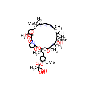 C=C1[C@H](C)C[C@H](C)/C=C/C=C/C=C(\C)[C@@H](OC)CC2CC[C@@H](C)[C@@](O)(O2)C(=O)C(=O)N2CCCC[C@H]2C(=O)O[C@H]([C@H](C)CC2CC[C@@H](OC(=O)C(C)(CO)CO)[C@H](OC)C2)CC(=O)[C@H](C)/C=C(\C)[C@@H](O)[C@H]1OC